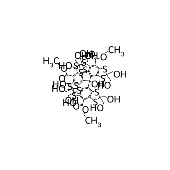 CCOC(=O)c1c2c(c(C(O)(c3c4c(c(C(=O)OCC)c5c3SC(CO)(CO)S5)SC(CO)(CO)S4)c3c4c(c(C(=O)OCC)c5c3SC(CO)(CO)S5)SC(CO)(CO)S4)c3c1SC(CO)(CO)S3)SC(CO)(CO)S2